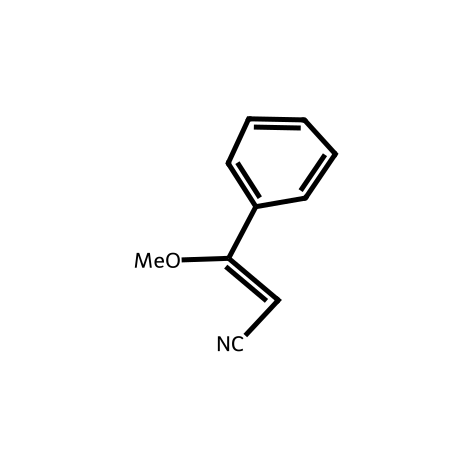 CO/C(=C\C#N)c1ccccc1